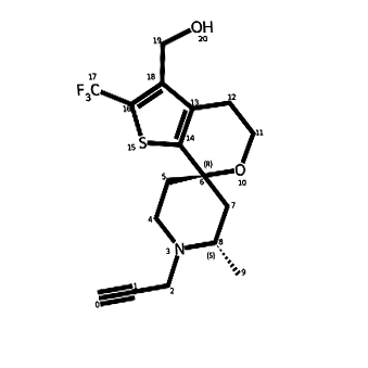 C#CCN1CC[C@]2(C[C@@H]1C)OCCc1c2sc(C(F)(F)F)c1CO